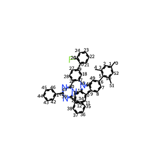 Cc1cc(C)c(-c2ccc3c4ccccc4n(-c4cc(-c5ccccc5F)ccc4-c4nc(-c5ccccc5)nc(-c5ccccc5)n4)c3c2)c(C)c1